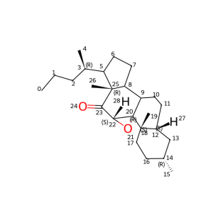 CCC[C@@H](C)C1CCC2C3CC[C@@H]4C[C@H](C)CC[C@]4(C)[C@]34O[C@@H]4C(=O)[C@@]21C